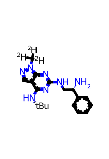 [2H]C([2H])([2H])n1ncc2c(NC(C)(C)C)nc(NC[C@H](N)c3ccccc3)nc21